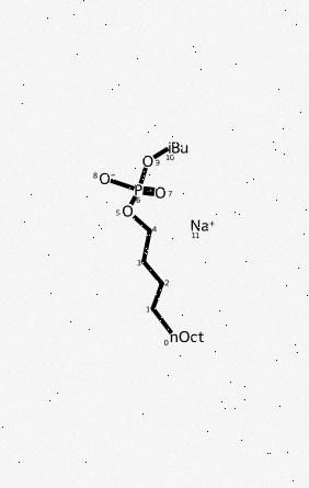 CCCCCCCCCCCCOP(=O)([O-])OC(C)CC.[Na+]